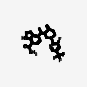 C=C1CCN(c2ncc(C(F)(F)F)cc2F)C/C1=C(/C)c1ccc(C(N)=O)c2[nH]ccc12